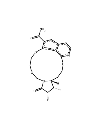 C[C@@H]1[C@H](F)C(=O)N2COCCOc3cc4c(nccc4cc3C(N)=O)OCC[C@H]12